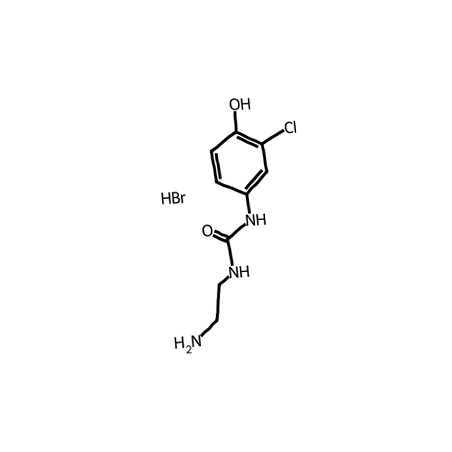 Br.NCCNC(=O)Nc1ccc(O)c(Cl)c1